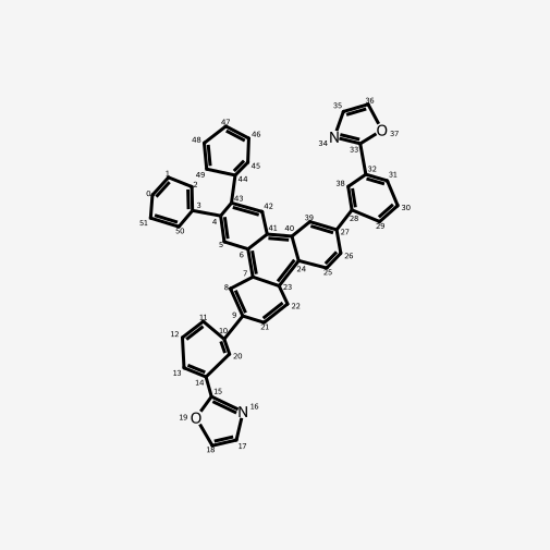 c1ccc(-c2cc3c4cc(-c5cccc(-c6ncco6)c5)ccc4c4ccc(-c5cccc(-c6ncco6)c5)cc4c3cc2-c2ccccc2)cc1